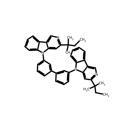 CCC(C)(C)c1cc2c(cn1)c1ccccc1n2-c1cccc(-c2cccc(-n3c4ccccc4c4cnc(C(C)(C)CC)cc43)c2)c1